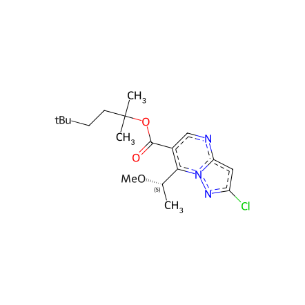 CO[C@@H](C)c1c(C(=O)OC(C)(C)CCC(C)(C)C)cnc2cc(Cl)nn12